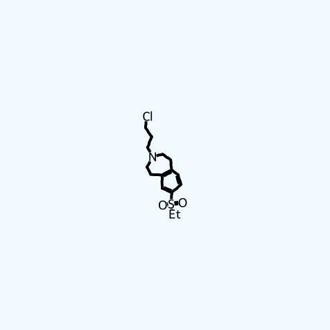 CCS(=O)(=O)c1ccc2c(c1)CCN(CCCCl)CC2